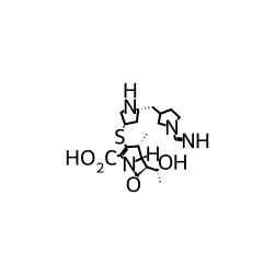 C[C@@H](O)[C@H]1C(=O)N2C(C(=O)O)=C(S[C@@H]3CN[C@H](CC4CCN(C=N)C4)C3)[C@H](C)[C@H]12